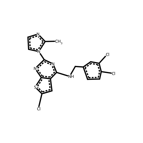 Cc1nccn1-c1nc(NCc2ccc(Cl)c(Cl)c2)c2cc(Cl)sc2n1